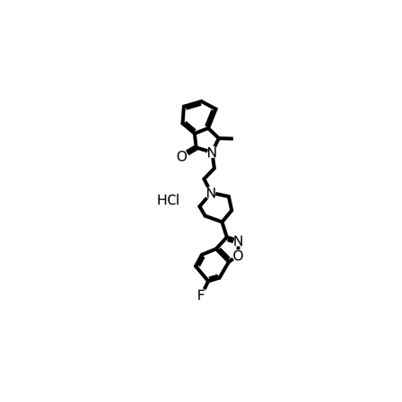 CC1c2ccccc2C(=O)N1CCN1CCC(c2noc3cc(F)ccc23)CC1.Cl